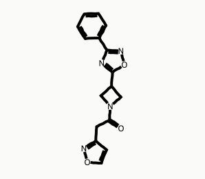 O=C(Cc1ccon1)N1CC(c2nc(-c3ccccc3)no2)C1